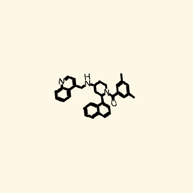 Cc1cc(C)cc(C(=O)N2CCC(NCc3ccnc4ccccc34)CC2c2cccc3ccccc23)c1